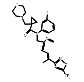 C=N/C(=C\C=C(/C)c1noc(C(F)(F)F)n1)CN(C(=O)C1(CN2CCOCC2)CC1)c1cccc(F)c1